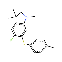 Cc1ccc(Sc2cc3c(cc2F)C(C)(C)CN3C)cc1